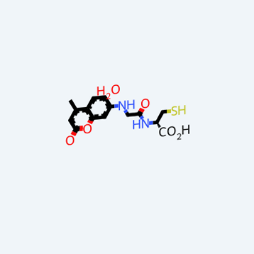 Cc1cc(=O)oc2cc(NCC(=O)N[C@@H](CS)C(=O)O)ccc12.O